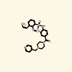 C=Nc1c(/C=C\C)cccc1S(=O)(=O)Nc1ccc(C(=O)N2CCN(Cc3ccncc3)CC2)cc1